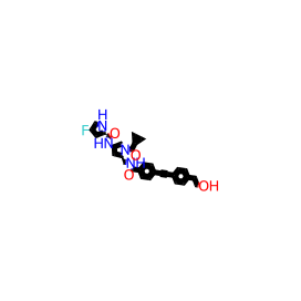 O=C(NC[C@H]1C[C@@H](NC(=O)[C@@H]2C[C@H](F)CN2)CN1C(=O)C1CC1)c1ccc(C#Cc2ccc(CCO)cc2)cc1